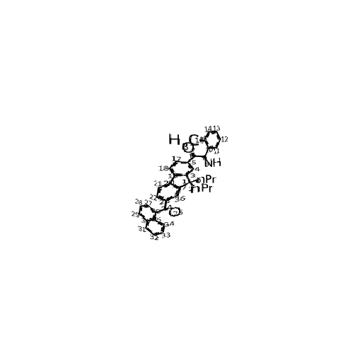 CCCC1(CCC)c2cc(C(=O)C(=N)c3ccccc3C)ccc2-c2ccc(C(=O)c3cccc4ccccc34)cc21